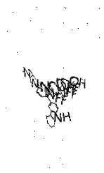 CN1CC2CN(c3ccc(-c4ccc5[nH]c6c(c5c4)CCCC6)nn3)CC21.O=C(O)C(F)(F)F.O=C(O)C(F)(F)F